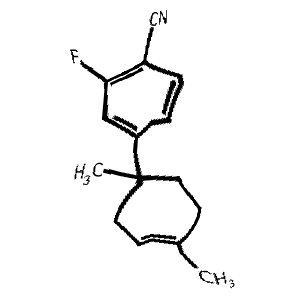 CC1=CCC(C)(c2ccc(C#N)c(F)c2)CC1